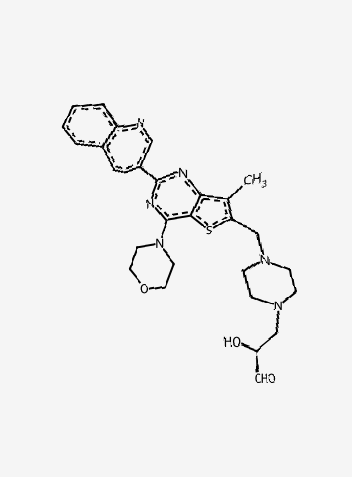 Cc1c(CN2CCN(C[C@H](O)C=O)CC2)sc2c(N3CCOCC3)nc(-c3cnc4ccccc4c3)nc12